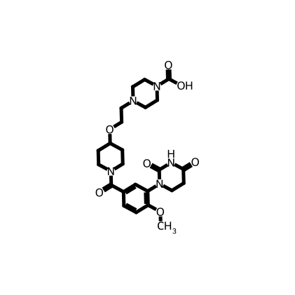 COc1ccc(C(=O)N2CCC(OCCN3CCN(C(=O)O)CC3)CC2)cc1N1CCC(=O)NC1=O